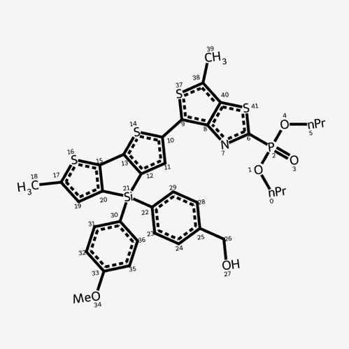 CCCOP(=O)(OCCC)c1nc2c(-c3cc4c(s3)-c3sc(C)cc3[Si]4(c3ccc(CO)cc3)c3ccc(OC)cc3)sc(C)c2s1